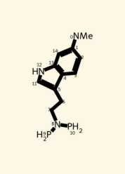 CNc1ccc2c(CCN(P)P)c[nH]c2c1